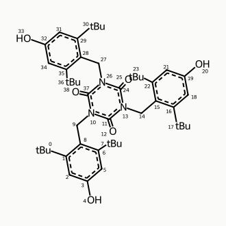 CC(C)(C)c1cc(O)cc(C(C)(C)C)c1Cn1c(=O)n(Cc2c(C(C)(C)C)cc(O)cc2C(C)(C)C)c(=O)n(Cc2c(C(C)(C)C)cc(O)cc2C(C)(C)C)c1=O